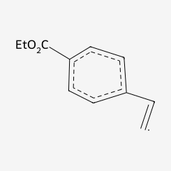 [CH]=Cc1ccc(C(=O)OCC)cc1